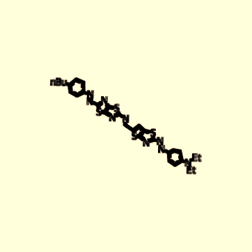 CCCCc1ccc(N=Nc2nc3sc(/N=C/c4cc5sc(N=Nc6ccc(N(CC)CC)cc6)nc5s4)nc3s2)cc1